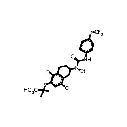 CCN(C(=O)Nc1ccc(OC(F)(F)F)cc1)C1CCc2c(F)c(SC(C)(C)C(=O)O)cc(Cl)c2C1